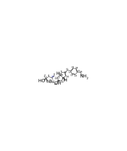 CCCC[C@](C)(O)C/C=C/[C@@H]1[C@H]2CC(Cc3ccc(CN)cc3)=C[C@H]2C[C@H]1O